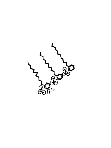 CCCCCCCCCCCCc1ccccc1S(=O)(=O)[O-].CCCCCCCCCCCCc1ccccc1S(=O)(=O)[O-].CCCCCCCCCCCCc1ccccc1S(=O)(=O)[O-].[Ti+3]